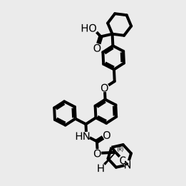 O=C(NC(c1ccccc1)c1cccc(OCc2ccc(C3(C(=O)O)CCCCC3)cc2)c1)O[C@H]1CN2CCC1CC2